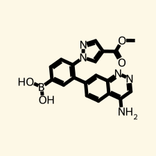 COC(=O)c1cnn(-c2ccc(B(O)O)cc2-c2ccc3c(N)cnnc3c2)c1